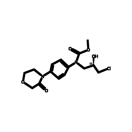 COC(=O)N(C[C@H](O)CCl)c1ccc(N2CCOCC2=O)cc1